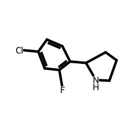 Fc1cc(Cl)ccc1C1CCCN1